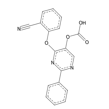 N#Cc1ccccc1Oc1nc(-c2ccccc2)ncc1OC(=O)O